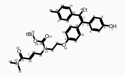 CC/C(=C(\c1ccc(O)cc1)c1ccc(OCCN(C/C=C/C(=O)N(C)C)C(=O)OC(C)(C)C)cc1)c1ccc(C)cc1